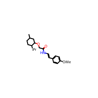 COc1ccc(C=CNC(=O)COC2CC(C)CCC2C(C)C)cc1